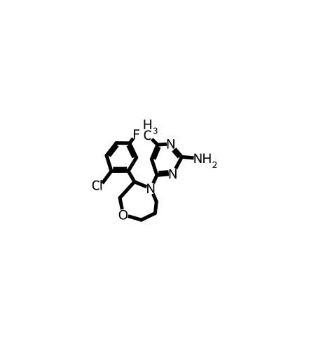 Cc1cc(N2CCCOCC2c2cc(F)ccc2Cl)nc(N)n1